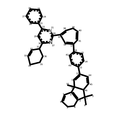 CC1(C)C2=C(C=CCC2)C2(C)C=C(c3ccc(C4=CC(c5nc(-c6ccccc6)cc(C6C=CCCC6)n5)=CCC=C4)cc3)C=CC12